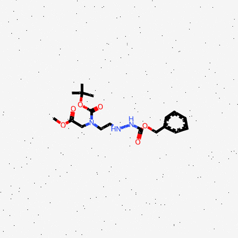 COC(=O)CN(CCNNC(=O)OCc1ccccc1)C(=O)OC(C)(C)C